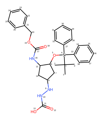 CC(C)(C)[Si](OC1CC(NNC(=O)O)CC1NC(=O)OCc1ccccc1)(c1ccccc1)c1ccccc1